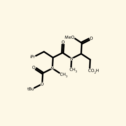 COC(=O)C(CC(=O)O)N(C)C(=O)C(CC(C)C)N(C)C(=O)OC(C)(C)C